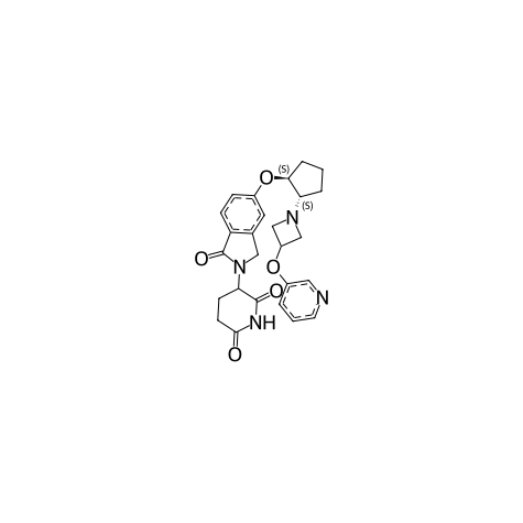 O=C1CCC(N2Cc3cc(O[C@H]4CCC[C@@H]4N4CC(Oc5cccnc5)C4)ccc3C2=O)C(=O)N1